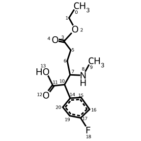 CCOC(=O)CCC(NC)C(C(=O)O)c1ccc(F)cc1